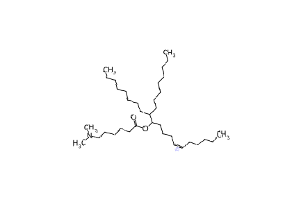 CCCCC/C=C\CCCC(OC(=O)CCCCCN(C)C)C(CCCCCCCC)CCCCCCCC